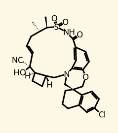 C[C@@H]1[C@@H](C)C/C=C/[C@@](O)(C#N)[C@@H]2CC[C@H]2CN2C[C@@]3(CCCc4cc(Cl)ccc43)COc3ccc(cc32)C(=O)NS1(=O)=O